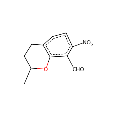 CC1CCc2ccc([N+](=O)[O-])c(C=O)c2O1